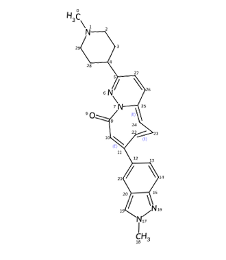 CN1CCC(C2=NN3C(=O)\C=C(c4ccc5nn(C)cc5c4)/C=C/C=C/3C=C2)CC1